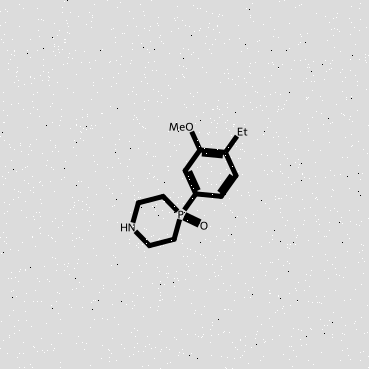 CCc1ccc(P2(=O)CCNCC2)cc1OC